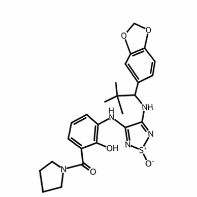 CC(C)(C)C(Nc1n[s+]([O-])nc1Nc1cccc(C(=O)N2CCCC2)c1O)c1ccc2c(c1)OCO2